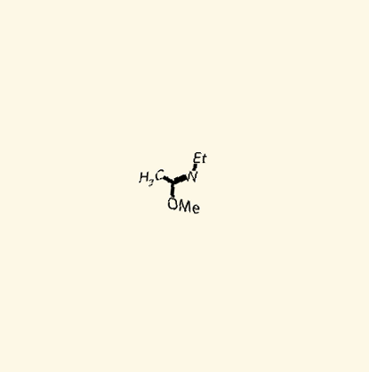 CC/N=C(\C)OC